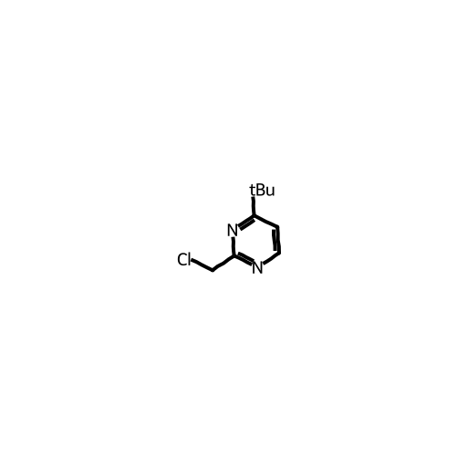 CC(C)(C)c1ccnc(CCl)n1